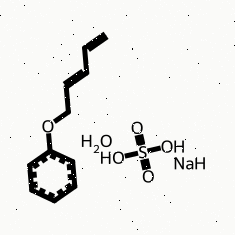 C=CC=CCOc1ccccc1.O.O=S(=O)(O)O.[NaH]